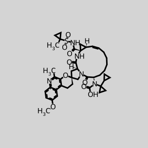 COc1ccc2nc(C)c3c(c2c1)CC[C@]1(C[C@H]2C(=O)N[C@]4(C(=O)NS(=O)(=O)C5(C)CC5)C[C@H]4/C=C\CCCCC[C@H](N(C(=O)O)C4(C5CC5)CC4)C(=O)N2C1)O3